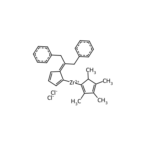 CC1=C(C)C(C)[C]([Zr+2][C]2=CC=CC2=C(Cc2ccccc2)Cc2ccccc2)=C1C.[Cl-].[Cl-]